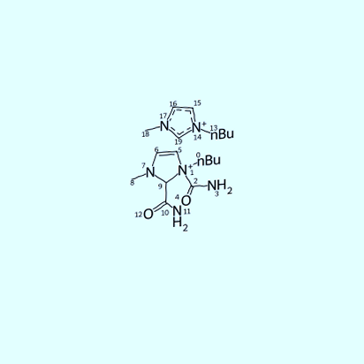 CCCC[N+]1(C(N)=O)C=CN(C)C1C(N)=O.CCCC[n+]1ccn(C)c1